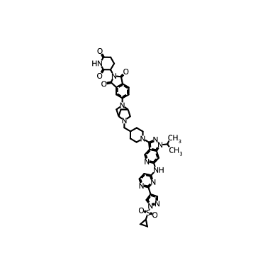 CC(C)n1nc(N2CCC(CN3CC4CC3CN4c3ccc4c(c3)C(=O)N(C3CCC(=O)NC3=O)C4=O)CC2)c2cnc(Nc3ccnc(-c4cnn(S(=O)(=O)C5CC5)c4)n3)cc21